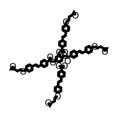 O=C(Oc1cc(OC(=O)c2ccc(C=Cc3ccc(OCCC4CO4)cc3)cc2)c(OC(=O)c2ccc(C=Cc3ccc(OCCC4CO4)cc3)cc2)cc1OC(=O)c1ccc(C=Cc2ccc(OCCC3CO3)cc2)cc1)c1ccc(C=Cc2ccc(OCCC3CO3)cc2)cc1